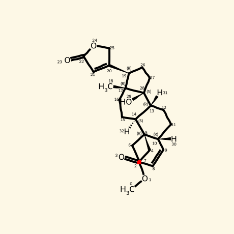 COC(=O)C[C@]12CCC=C[C@H]1CC[C@@H]1[C@@H]2CC[C@]2(C)[C@@H](C3=CC(=O)OC3)CC[C@]12O